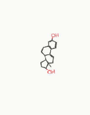 C[C@]12CC=C3c4ccc(O)cc4CCC3C1CCC2O